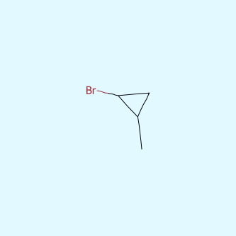 CC1CC1Br